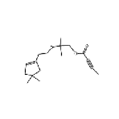 CC#CC(=O)OCC(C)(C)OCCC1=CCC(C)(C)C1